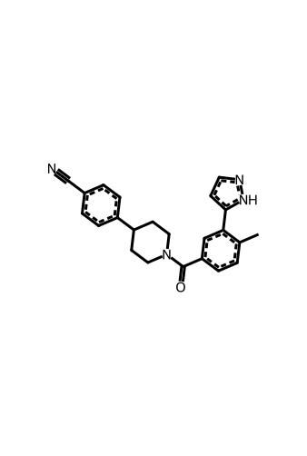 Cc1ccc(C(=O)N2CCC(c3ccc(C#N)cc3)CC2)cc1-c1ccn[nH]1